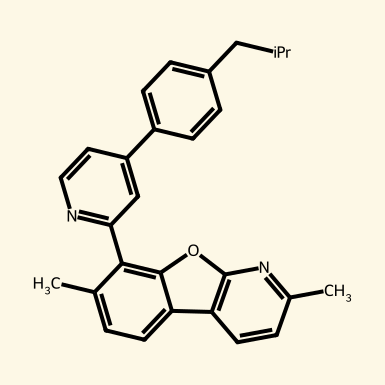 Cc1ccc2c(n1)oc1c(-c3cc(-c4ccc(CC(C)C)cc4)ccn3)c(C)ccc12